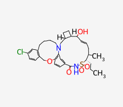 CCC[C@H]1C(C)C/C=C/[C@H](O)[C@@H]2CC[C@H]2CN2CCCCc3cc(Cl)ccc3COc3ccc(cc32)C(=O)NS1(=O)=O